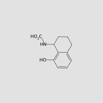 O=C(O)NC1CCCc2cccc(O)c21